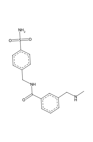 CNCc1cccc(C(=O)NCc2ccc(S(N)(=O)=O)cc2)c1